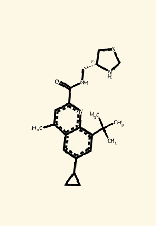 Cc1cc(C(=O)NC[C@@H]2CSCN2)nc2c(C(C)(C)C)cc(C3CC3)cc12